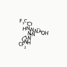 O[C@@H]1CCN(c2nc(Nc3cccc(C(F)(F)F)c3)nc(Nc3cccc(C(F)(F)F)n3)n2)C1